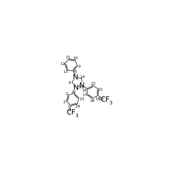 FC(F)(F)c1ccc(N2CN(c3ccccc3)CN2c2ccc(C(F)(F)F)cc2)cc1